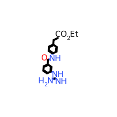 CCOC(=O)CCc1ccc(NC(=O)c2cccc(NC(=N)N)c2)cc1